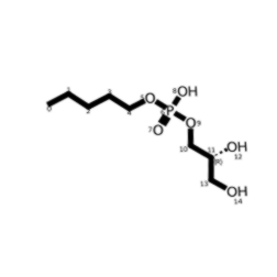 CCCCCOP(=O)(O)OC[C@H](O)CO